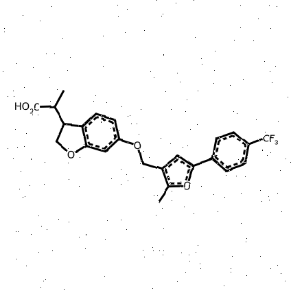 Cc1oc(-c2ccc(C(F)(F)F)cc2)cc1COc1ccc2c(c1)OCC2C(C)C(=O)O